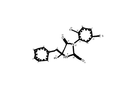 CC(C)C1(Cc2ccccc2)NC(=O)N(c2cc(F)ccc2Cl)C1=O